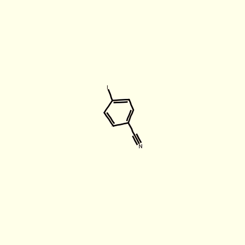 N#Cc1[c]cc(I)cc1